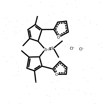 CC1=CC(C)=C(c2ccco2)[CH]1[Zr+2]([CH]1C(C)=CC(C)=C1c1ccco1)=[Si](C)C.[Cl-].[Cl-]